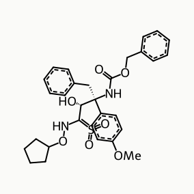 COc1ccc([C@](Cc2ccccc2)(NC(=O)OCc2ccccc2)[C@@H](O)C(NOC2CCCC2)=S(=O)=O)cc1